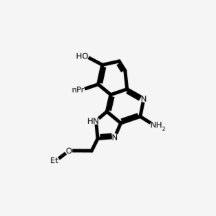 CCCc1c(O)ccc2nc(N)c3nc(COCC)[nH]c3c12